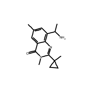 Cc1cc(C(C)N)c2nc(C3(C)CC3)n(C)c(=O)c2c1